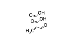 C=CC=O.O=CO.O=CO